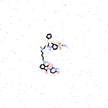 Cc1cc(S(N)(=O)=O)ccc1N[C@H](CCN(C)CCCCCNc1cccc2c1C(=O)N(C1CCC(=O)NC1=O)C2=O)CSc1ccccc1